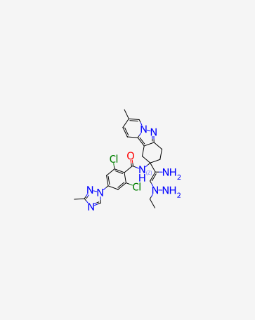 CCN(N)/C=C(\N)C1(NC(=O)c2c(Cl)cc(-n3cnc(C)n3)cc2Cl)CCc2nn3cc(C)ccc3c2C1